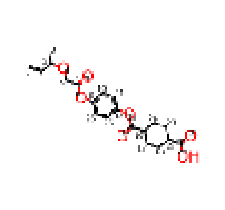 C=CC(C)OCC(=O)Oc1ccc(OC(=O)C2CCC(C(=O)O)CC2)cc1